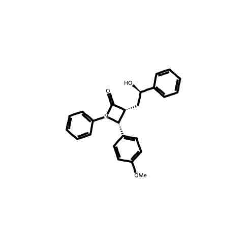 COc1ccc([C@H]2[C@@H](C[C@@H](O)c3ccccc3)C(=O)N2c2ccccc2)cc1